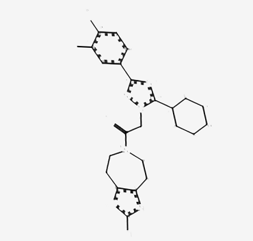 Cc1nc2c(s1)CCN(C(=O)Cn1nc(-c3ccc(F)c(C)c3)nc1C1CCCCC1)CC2